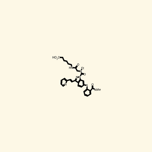 CCN(CC(=O)NCCCCCC(=O)O)C(=O)n1nc(/C=C/c2ccccn2)c2ccc(Sc3ccccc3C(=O)NC)cc21